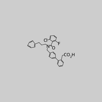 O=C(O)Cc1ccccc1-c1ccc(CN(CCCc2ccccc2)C(=O)c2c(F)cccc2Cl)cc1